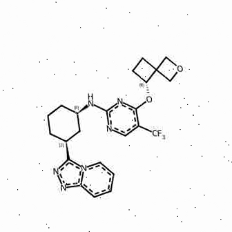 FC(F)(F)c1cnc(N[C@@H]2CCC[C@H](c3nnc4ccccn34)C2)nc1O[C@@H]1CCC12COC2